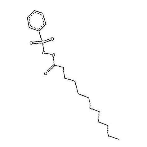 CCCCCCCCCCCC(=O)OOS(=O)(=O)c1ccccc1